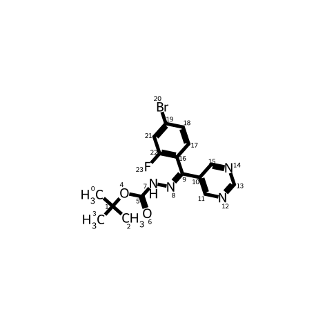 CC(C)(C)OC(=O)NN=C(c1cncnc1)c1ccc(Br)cc1F